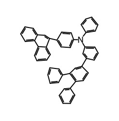 c1ccc(-c2ccc(-c3cccc(N(c4ccccc4)c4ccc(-c5cc6ccccc6c6ccccc56)cc4)c3)cc2-c2ccccc2)cc1